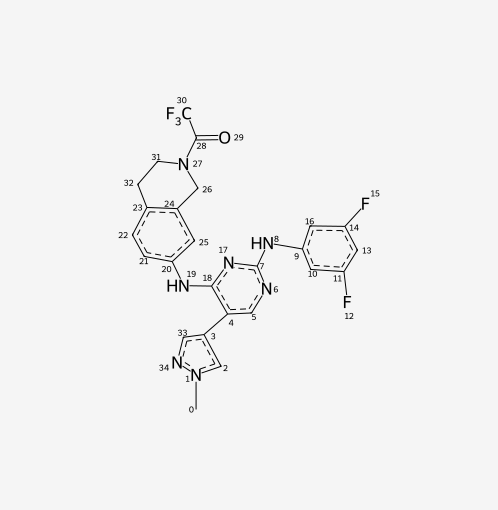 Cn1cc(-c2cnc(Nc3cc(F)cc(F)c3)nc2Nc2ccc3c(c2)CN(C(=O)C(F)(F)F)CC3)cn1